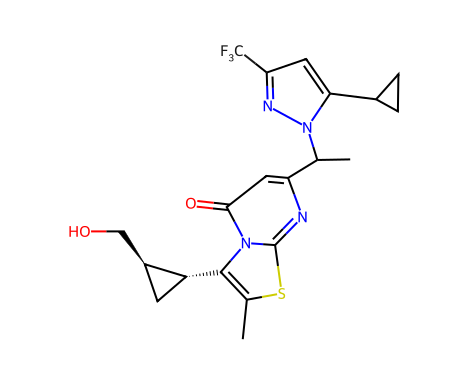 Cc1sc2nc(C(C)n3nc(C(F)(F)F)cc3C3CC3)cc(=O)n2c1[C@@H]1C[C@H]1CO